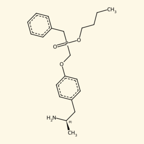 CCCCOP(=O)(COc1ccc(C[C@@H](C)N)cc1)Cc1ccccc1